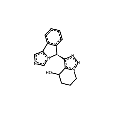 OC1CCCn2nnc([C@@H]3c4ccccc4-c4cncn43)c21